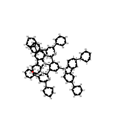 c1ccc(-c2ccc3c(c2)c2cc(-c4ccccc4)ccc2n3-c2cc(-c3nc(-c4ccccc4)cc(-c4ccccc4)n3)c(-n3c4ccccc4c4cc(-c5ccccc5)ccc43)c(-c3nc(-c4ccccc4)cc(-c4ccccc4)n3)c2)cc1